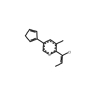 C/C=C(/Cl)c1ncc(C2=CCC=C2)cc1C